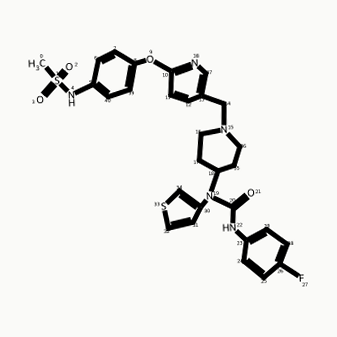 CS(=O)(=O)Nc1ccc(Oc2ccc(CN3CCC(N(C(=O)Nc4ccc(F)cc4)c4ccsc4)CC3)cn2)cc1